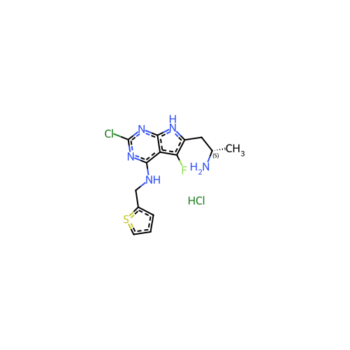 C[C@H](N)Cc1[nH]c2nc(Cl)nc(NCc3cccs3)c2c1F.Cl